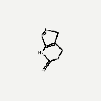 O=C1CCC2=C(C=NC2)N1